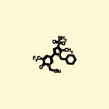 Cc1c(S(N)(=O)=O)cc(-c2cc(C(F)(F)F)c(=O)n(CC(C)(C)C)c2)n1CC1CCCCC1